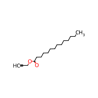 C#CCOC(=O)CCCCCCCCCCCCC